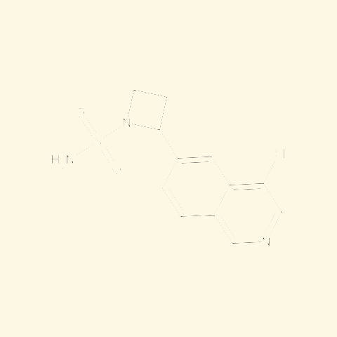 NS(=O)(=O)N1CCC1c1ccc2cncc(Cl)c2c1